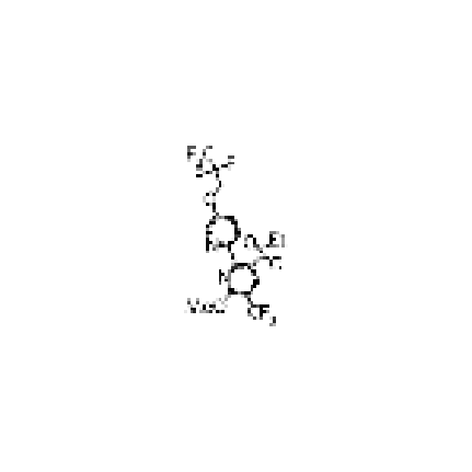 CCS(=O)(=O)c1cc(C(F)(F)F)c(OC)nc1-c1ccc(OCC(F)(F)C(F)(F)F)cn1